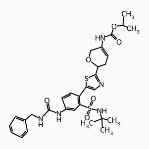 CC(C)OC(=O)NC1=CCC(c2ncc(-c3ccc(NC(=O)NCc4ccccc4)cc3S(=O)(=O)NC(C)(C)C)s2)OC1